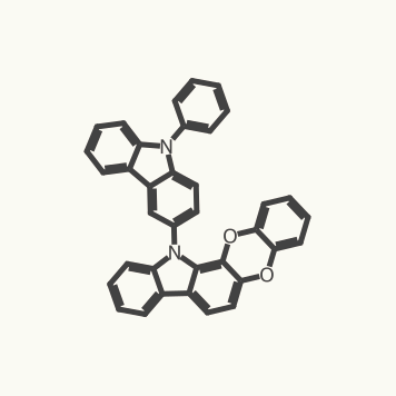 c1ccc(-n2c3ccccc3c3cc(-n4c5ccccc5c5ccc6c(c54)Oc4ccccc4O6)ccc32)cc1